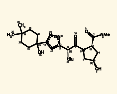 CNC(=O)[C@@H]1C[C@@H](O)CN1C(=O)[C@@H](n1cc(C2(O)CCC(C)(C)CC2)nn1)C(C)(C)C